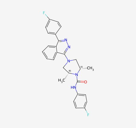 C[C@@H]1CN(c2nnc(-c3ccc(F)cc3)c3ccccc23)C[C@H](C)N1C(=O)Nc1ccc(F)cc1